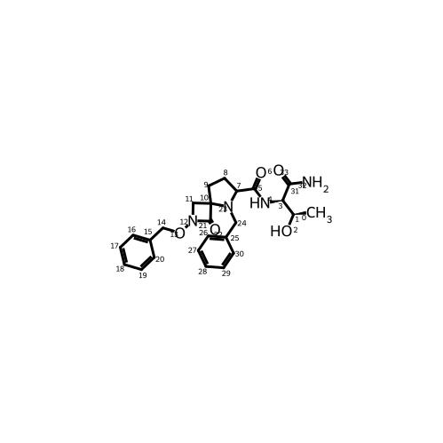 C[C@@H](O)[C@@H](NC(=O)C1CCC2(CN(OCc3ccccc3)C2=O)N1Cc1ccccc1)C(N)=O